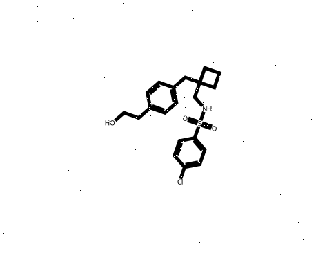 O=S(=O)(NCC1(Cc2ccc(CCO)cc2)CCC1)c1ccc(Cl)cc1